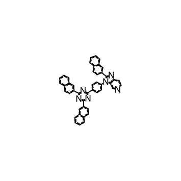 c1ccc2cc(-c3nc(-c4ccc(-n5c(-c6ccc7ccccc7c6)nc6ccncc65)cc4)nc(-c4ccc5ccccc5c4)n3)ccc2c1